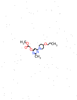 CCCOC1CCN(c2cc(OCC(=O)OC)nc(C)n2)CC1